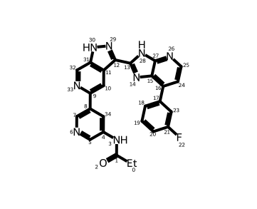 CCC(=O)Nc1cncc(-c2cc3c(-c4nc5c(-c6cccc(F)c6)ccnc5[nH]4)n[nH]c3cn2)c1